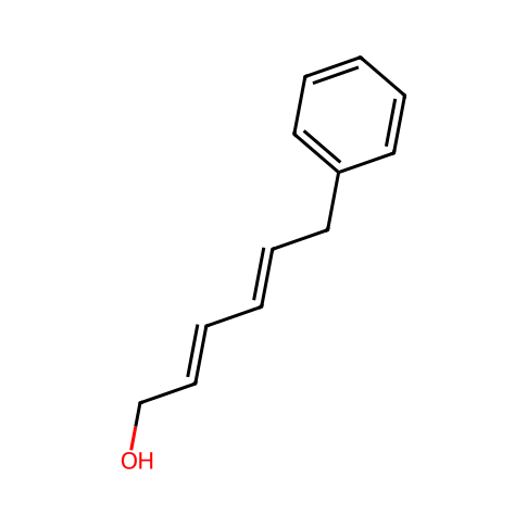 OC/C=C/C=C/Cc1ccccc1